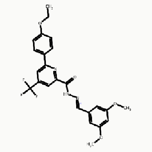 CCOc1ccc(-c2cc(C(F)(F)F)cc(C(=O)N/N=C/c3cc(OC)cc(OC)c3)n2)cc1